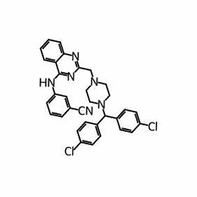 N#Cc1cccc(Nc2nc(CN3CCN(C(c4ccc(Cl)cc4)c4ccc(Cl)cc4)CC3)nc3ccccc23)c1